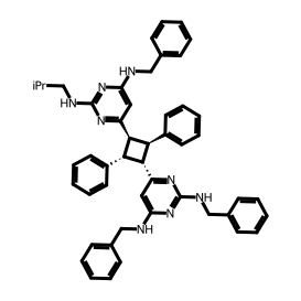 CC(C)CNc1nc(NCc2ccccc2)cc([C@H]2[C@@H](c3ccccc3)[C@H](c3cc(NCc4ccccc4)nc(NCc4ccccc4)n3)[C@@H]2c2ccccc2)n1